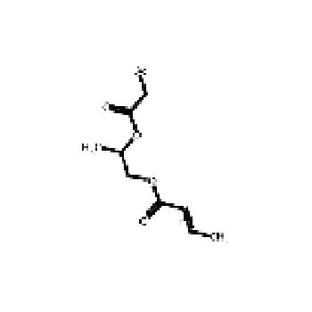 C/C=C/C(=O)OCC(C)OC(=O)CC(C)=O